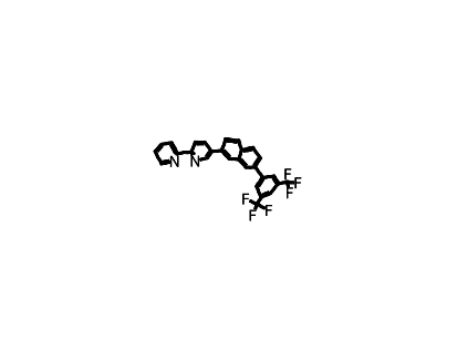 FC(F)(F)c1cc(-c2ccc3ccc(-c4ccc(-c5ccccn5)nc4)cc3c2)cc(C(F)(F)F)c1